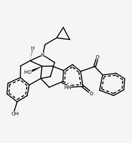 O=C(c1ccccc1)c1cc2c([nH]c1=O)CC13CCN(CC4CC4)[C@H](Cc4ccc(O)cc41)[C@]3(O)C2